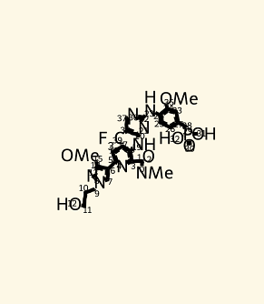 CNC(=O)c1nc(-c2cn(CCCO)nc2OC)ccc1Nc1nc(Nc2ccc(CP(=O)(O)O)cc2OC)ncc1C(F)(F)F